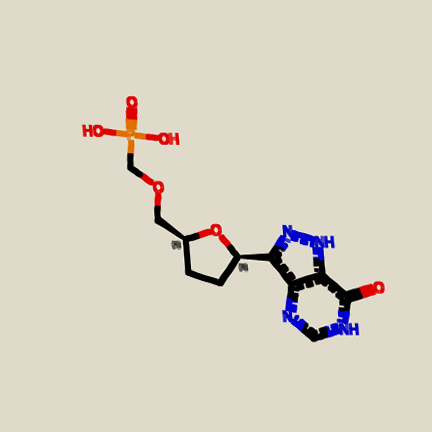 O=c1[nH]cnc2c([C@H]3CC[C@@H](COCP(=O)(O)O)O3)n[nH]c12